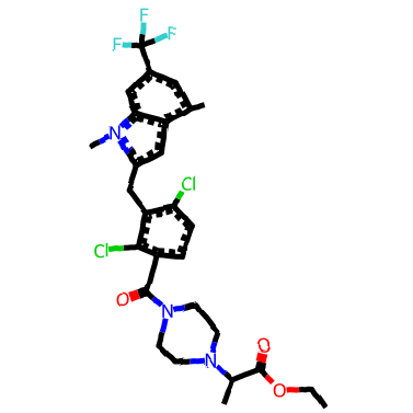 CCOC(=O)C(C)N1CCN(C(=O)c2ccc(Cl)c(Cc3cc4c(C)cc(C(F)(F)F)cc4n3C)c2Cl)CC1